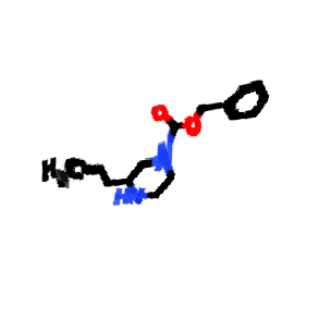 C=CCC1CN(C(=O)OCc2ccccc2)CCN1